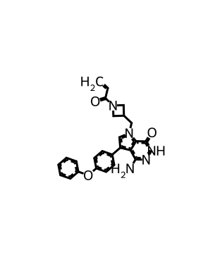 C=CC(=O)N1CC(Cn2cc(-c3ccc(Oc4ccccc4)cc3)c3c(N)n[nH]c(=O)c32)C1